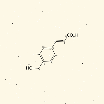 O=C(O)C=Cc1ccc(CO)cc1